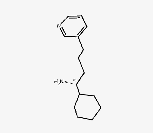 N[C@H](CCCc1cccnc1)C1CCCCC1